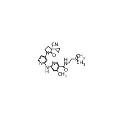 Cc1cc(Nc2cc(N3CC[C@@](C#N)(C4CC4)C3=O)ccn2)ncc1C(=O)NCCN(C)C